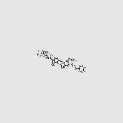 COc1cc2c(Oc3ccc(NC(=O)NCCC(C)(C)C)c(Cl)c3)ccnc2cc1OCCCN1CCCCCC1